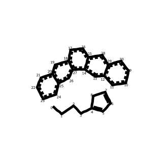 CCCCC1=CC=CC1.c1ccc2cc3c(ccc4cc5ccccc5cc43)cc2c1